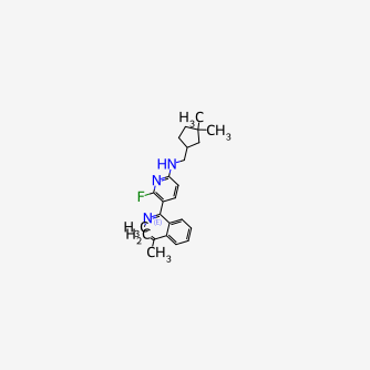 C=C(C)c1ccccc1/C(=N\C)c1ccc(NCC2CCC(C)(C)C2)nc1F